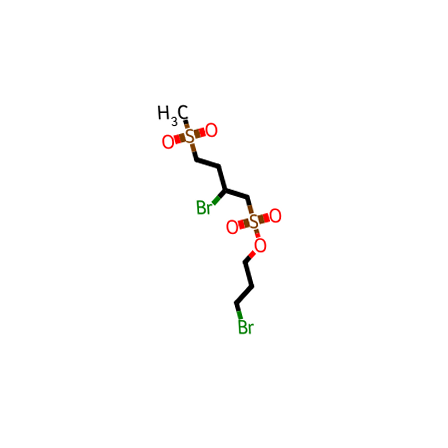 CS(=O)(=O)CCC(Br)CS(=O)(=O)OCCCBr